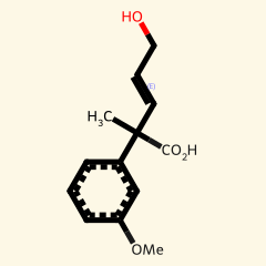 COc1cccc(C(C)(/C=C/CO)C(=O)O)c1